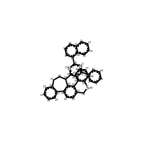 c1ccc(-c2nc(-c3cccc4ccccc34)nc(C3CCc4ccccc4-c4ccc5c(c43)-c3ccccc3SC5)n2)cc1